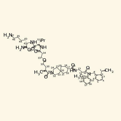 C=Cc1ccccc1CN(C(=O)CCNC(=O)C1CCC2(CC1)CCN(C(=O)C(C)CCOCCC(=O)N[C@H](C(=O)N[C@@H](CCCCN)C(N)=O)C(C)C)CC2)c1ccccc1C